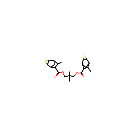 CC1C2CC(C3SC23)C1C(=O)OCC(C)(C)COC(=O)C1C(C)C2CC1C1SC21